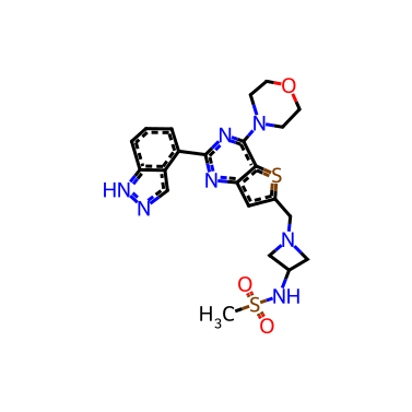 CS(=O)(=O)NC1CN(Cc2cc3nc(-c4cccc5[nH]ncc45)nc(N4CCOCC4)c3s2)C1